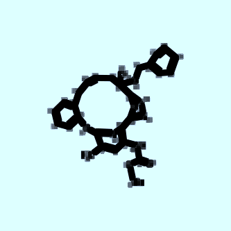 CC(C)(C)OC(=O)Nc1cc(C(F)(F)F)c2nc1-c1nnc(o1)C(OCc1ccccc1)(C(F)(F)F)CC=CCc1ccccc1O2